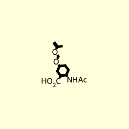 C=C(C)OCOC1CCC(NC(C)=O)C(C(=O)O)C1